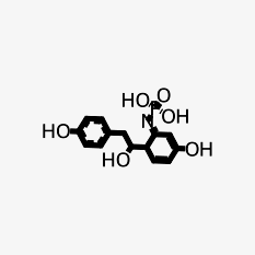 O=P(O)(O)N=C1C=C(O)C=CC1C(O)Cc1ccc(O)cc1